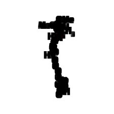 COc1cc(OC)c(Cl)c(NC(=O)N(C)c2cc(Nc3ccc(N4CCN(CC(=O)NCCOCCOCCOCCOc5cc6c7c(cccc7c5)C(=O)N(C5CCC(=O)NC5=O)C6=O)CC4)cc3)ncn2)c1Cl